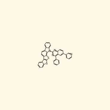 c1ccc(-c2nc(-n3c4ccccc4c4ccc5c(sc6sc7ccccc7c65)c43)nc3ccc(-c4cccnc4)cc23)cc1